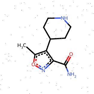 Cc1onc(C(N)=O)c1C1CCNCC1